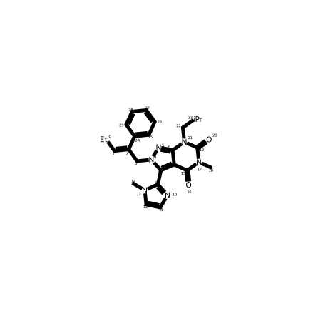 CCC=C(Cn1nc2c(c1-c1nccn1C)c(=O)n(C)c(=O)n2CC(C)C)c1ccccc1